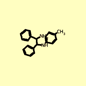 Cc1ccc(NC(c2ccccc2)C(N)c2ccccc2)cc1